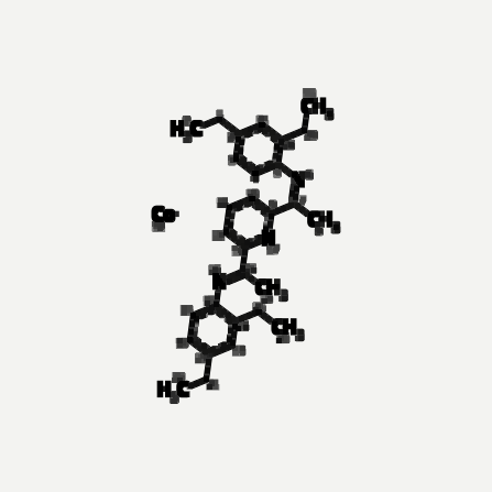 CCc1ccc(N=C(C)c2cccc(C(C)=Nc3ccc(CC)cc3CC)n2)c(CC)c1.[Co]